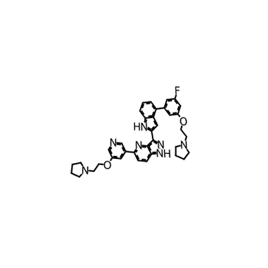 Fc1cc(OCCN2CCCC2)cc(-c2cccc3[nH]c(-c4n[nH]c5ccc(-c6cncc(OCCN7CCCC7)c6)nc45)cc23)c1